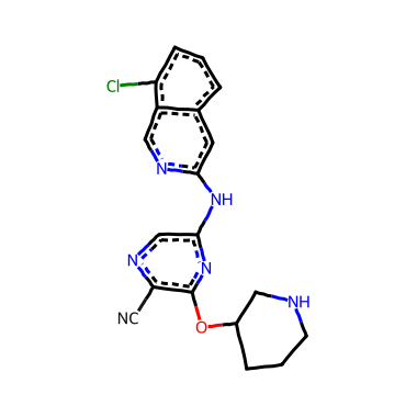 N#Cc1ncc(Nc2cc3cccc(Cl)c3cn2)nc1OC1CCCNC1